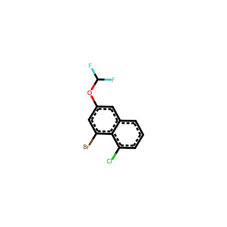 FC(F)Oc1cc(Br)c2c(Cl)cccc2c1